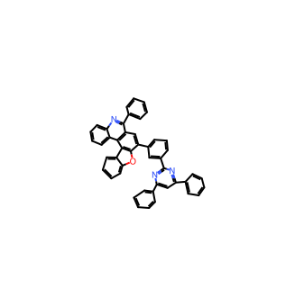 c1ccc(-c2cc(-c3ccccc3)nc(-c3cccc(-c4cc5c(-c6ccccc6)nc6ccccc6c5c5c4oc4ccccc45)c3)n2)cc1